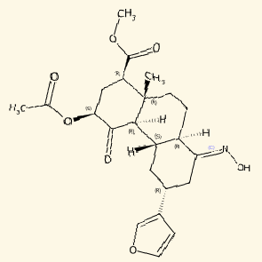 COC(=O)[C@@H]1C[C@H](OC(C)=O)C(=O)[C@@H]2[C@H]3C[C@@H](c4ccoc4)C/C(=N\O)[C@@H]3CC[C@]21C